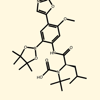 COc1cc(NC(=O)[C@@H](CC(C)C)N(C(=O)O)C(C)(C)C)c(B2OC(C)(C)C(C)(C)O2)cc1-c1cnco1